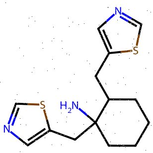 NC1(Cc2cncs2)CCCCC1Cc1cncs1